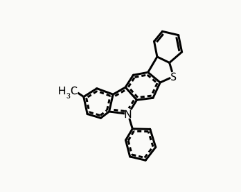 Cc1ccc2c(c1)c1cc3c(cc1n2-c1ccccc1)SC1C=CC=CC31